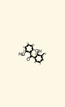 Cc1cccc(C(=O)c2ccccc2O)c1O